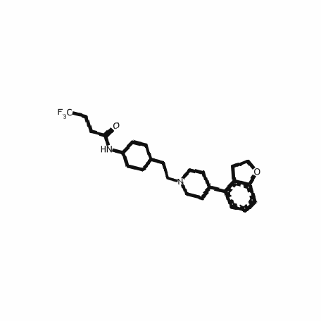 O=C(CCC(F)(F)F)NC1CCC(CCN2CCC(c3cccc4c3CCO4)CC2)CC1